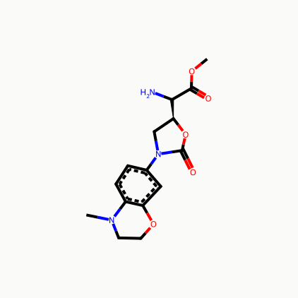 COC(=O)C(N)[C@@H]1CN(c2ccc3c(c2)OCCN3C)C(=O)O1